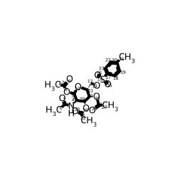 CC(=O)N[C@H]1C(OC(C)=O)O[C@H](COS(=O)(=O)c2ccc(C)cc2)[C@H](OC(C)=O)[C@@H]1OC(C)=O